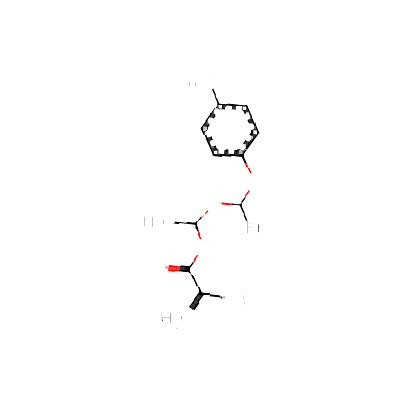 C=C(C)C(=O)OC(C)OC(CC)Oc1ccc(CCC)cc1